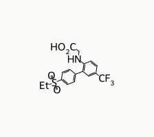 CCS(=O)(=O)c1ccc(-c2cc(C(F)(F)F)ccc2NCC(=O)O)cc1